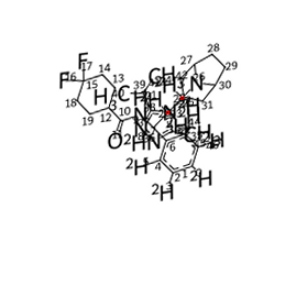 [2H]c1c([2H])c([2H])c([C@@]([2H])(NC(=O)C2CCC(F)(F)CC2)C([2H])([2H])C([2H])([2H])N2C3CCC2CC(n2c(C)nnc2C(C)C)C3)c([2H])c1[2H]